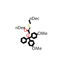 CCCCCCCCCCCCSC[C@@H](COC(c1ccccc1)(c1ccc(OC)cc1)c1ccc(OC)cc1)OCCCCCCCCCC